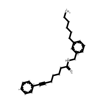 CCCCCCc1cccc(CNC(=O)CCCCC#Cc2ccccc2)c1